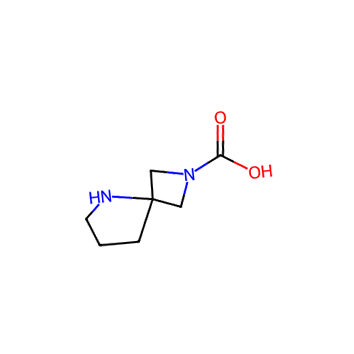 O=C(O)N1CC2(CCCN2)C1